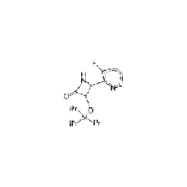 CC(C)[Si](OC1C(=O)NC1c1ncccc1F)(C(C)C)C(C)C